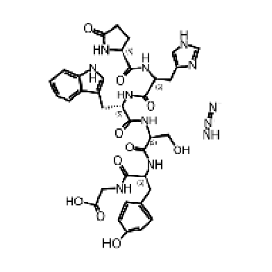 O=C(O)CNC(=O)[C@H](Cc1ccc(O)cc1)NC(=O)[C@H](CO)NC(=O)[C@H](Cc1c[nH]c2ccccc12)NC(=O)[C@H](Cc1c[nH]cn1)NC(=O)[C@@H]1CCC(=O)N1.[N-]=[N+]=N